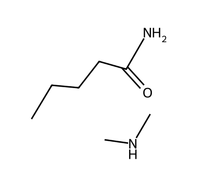 CCCCC(N)=O.CNC